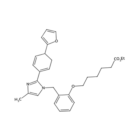 CCOC(=O)CCCCCOc1ccccc1Cn1cc(C)nc1C1=CCC(c2ccco2)C=C1